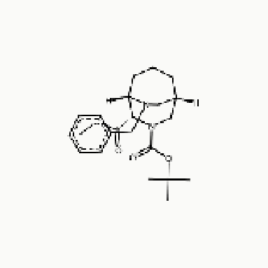 COC(=O)[C@@H]1[C@@H]2CCC[C@@H](CN2Cc2ccccc2)CN1C(=O)OC(C)(C)C